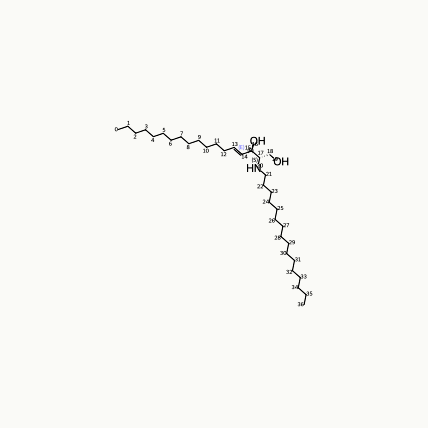 CCCCCCCCCCCCC/C=C/[C@@H](O)[C@H](CO)NCCCCCCCCCCCCCCCC